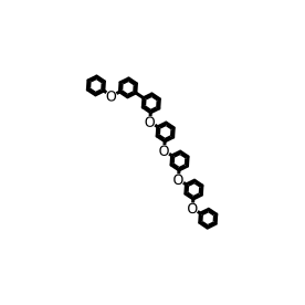 c1ccc(Oc2cccc(Oc3cccc(Oc4cccc(Oc5cccc(-c6cccc(Oc7ccccc7)c6)c5)c4)c3)c2)cc1